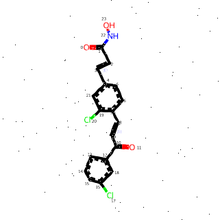 O=C(/C=C/c1ccc(/C=C/C(=O)c2cccc(Cl)c2)c(Cl)c1)NO